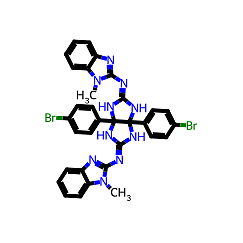 Cn1c(N=C2NC3(c4ccc(Br)cc4)NC(=Nc4nc5ccccc5n4C)NC3(c3ccc(Br)cc3)N2)nc2ccccc21